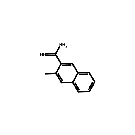 Cc1cc2ccccc2cc1C(=N)N